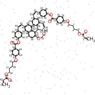 C=CC(=O)OCCCCOc1ccc(C(=O)Oc2ccc(/C=C\c3ccc4c(c3)C=C[C@H]3OCOc5ccc6cc(/C=C\c7ccc(OC(=O)c8ccc(OCCCCOC(=O)C=C)cc8)cc7)ccc6c5C43)cc2)cc1